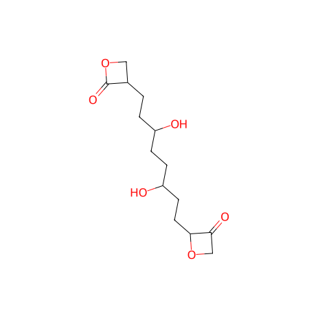 O=C1OCC1CCC(O)CCC(O)CCC1OCC1=O